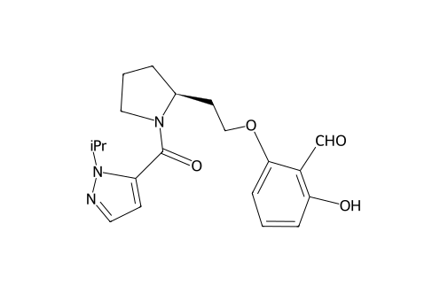 CC(C)n1nccc1C(=O)N1CCC[C@H]1CCOc1cccc(O)c1C=O